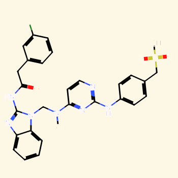 CN(Cn1c(NC(=O)Cc2cccc(Cl)c2)nc2ccccc21)c1ccnc(Nc2ccc(CS(C)(=O)=O)cc2)n1